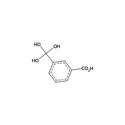 O=C(O)c1cccc(C(O)(O)O)c1